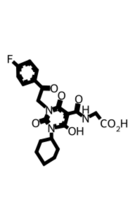 O=C(O)CNC(=O)c1c(O)n(C2CCCCC2)c(=O)n(CC(=O)c2ccc(F)cc2)c1=O